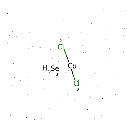 [Cl][Cu][Cl].[SeH2]